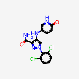 NC(=O)c1nn(-c2c(Cl)cccc2Cl)cc1Nc1ccc(=O)[nH]c1